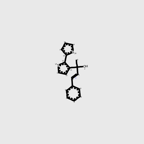 CC(O)(/C=C/c1ccccc1)c1ccsc1-c1cccs1